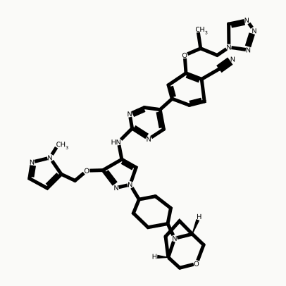 CC(Cn1cnnn1)Oc1cc(-c2cnc(Nc3cn(C4CCC(N5[C@@H]6CC[C@H]5COC6)CC4)nc3OCc3ccnn3C)nc2)ccc1C#N